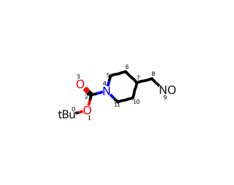 CC(C)(C)OC(=O)N1CCC(CN=O)CC1